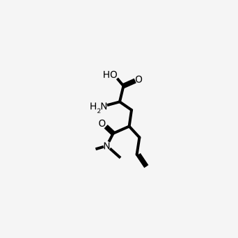 C=CCC(CC(N)C(=O)O)C(=O)N(C)C